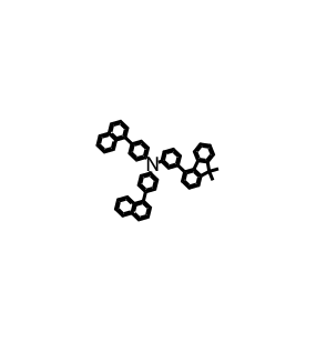 CC1(C)c2ccccc2-c2c(-c3cccc(N(c4ccc(-c5cccc6ccccc56)cc4)c4ccc(-c5cccc6ccccc56)cc4)c3)cccc21